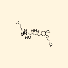 COCCCOc1cc(C[C@@H](C[C@H](N)[C@H](O)CNS(=O)(=O)CCCCC(C)C)C(C)C)ccc1OC